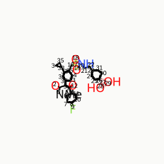 CNC(=O)c1c(-c2ccc(F)cc2)oc2cc(CS(=O)(=O)NCCc3ccc(B(O)O)cc3)c(C3CC3)cc12